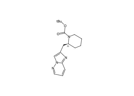 CC(C)(C)OC(=O)N1CCCC[C@H]1Cc1cn2ncccc2n1